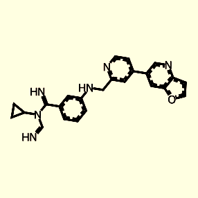 N=CN(C(=N)c1cccc(NCc2cc(-c3cnc4ccoc4c3)ccn2)c1)C1CC1